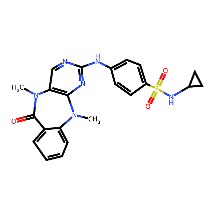 CN1C(=O)c2ccccc2N(C)c2nc(Nc3ccc(S(=O)(=O)NC4CC4)cc3)ncc21